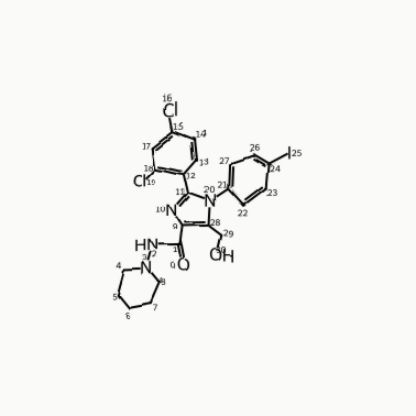 O=C(NN1CCCCC1)c1nc(-c2ccc(Cl)cc2Cl)n(-c2ccc(I)cc2)c1CO